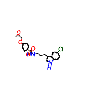 O=S(=O)(NCCCc1c[nH]c2ccc(Cl)cc12)c1ccc(OC[C@H]2CO2)cc1